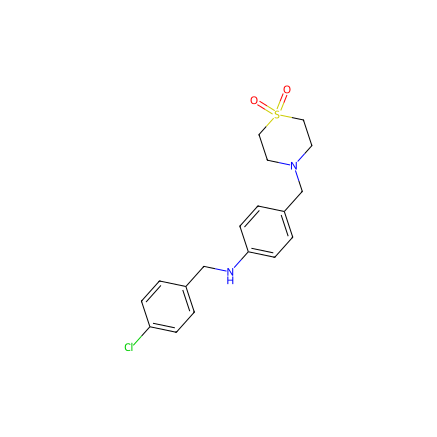 O=S1(=O)CCN(Cc2ccc(NCc3ccc(Cl)cc3)cc2)CC1